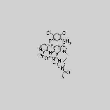 C=CC(=O)N1CC(C)N2c3nc(=O)n(-c4c(C)ccnc4C(C)C)c4c(F)c(-c5c(N)c(Cl)cc(Cl)c5F)c(Cl)c(c34)N(C)CCC2C1